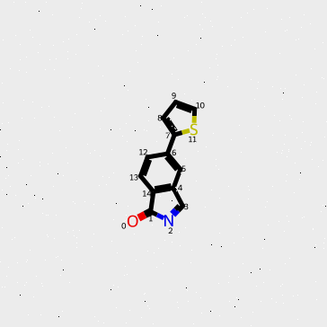 O=C1N=Cc2cc(-c3cccs3)ccc21